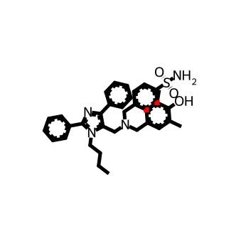 CCCCn1c(-c2ccccc2)nc(-c2ccccc2)c1CN(Cc1ccc(S(N)(=O)=O)cc1)Cc1cc(C)c(O)c(C)c1